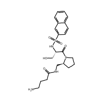 NCCCC(=O)NC[C@@H]1CCCN1C(=O)[C@H](CO)NS(=O)(=O)c1ccc2ccccc2c1